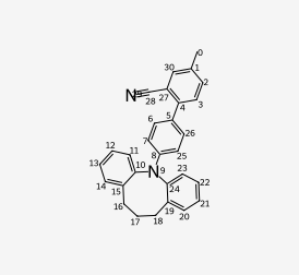 Cc1ccc(-c2ccc(N3c4ccccc4CCCc4ccccc43)cc2)c(C#N)c1